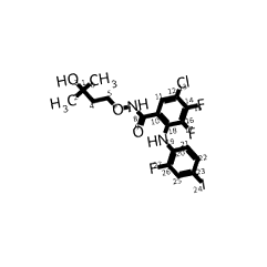 CC(C)(O)CCONC(=O)c1cc(Cl)c(F)c(F)c1Nc1ccc(I)cc1F